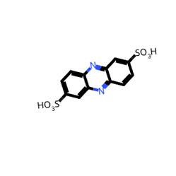 O=S(=O)(O)c1ccc2nc3cc(S(=O)(=O)O)ccc3nc2c1